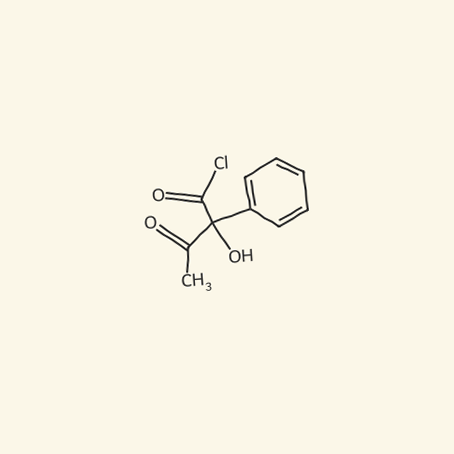 CC(=O)C(O)(C(=O)Cl)c1ccccc1